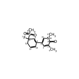 Cc1cc(C2=CC(F)(S(C)(=O)=O)CC=C2)cn(C)c1=O